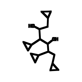 OC(CC1CC1)C(C1CC1)C(O)C(CC1CC1)C1CC1